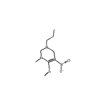 CCCN1CC([N+](=O)[O-])=C(SC)N(C)C1